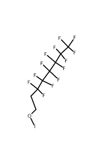 FC(F)(F)C(F)(F)C(F)(F)C(F)(F)C(F)(F)C(F)(F)CCOI